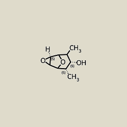 CC1C2OC(C3O[C@H]32)[C@@H](C)[C@H]1O